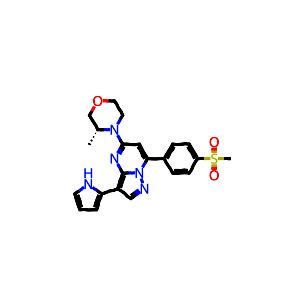 C[C@@H]1COCCN1c1cc(-c2ccc(S(C)(=O)=O)cc2)n2ncc(-c3ccc[nH]3)c2n1